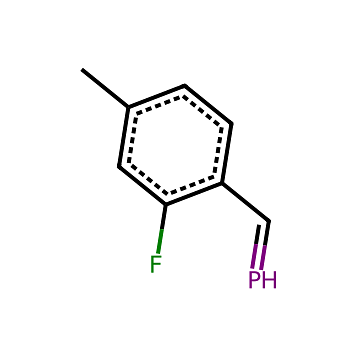 Cc1ccc(C=P)c(F)c1